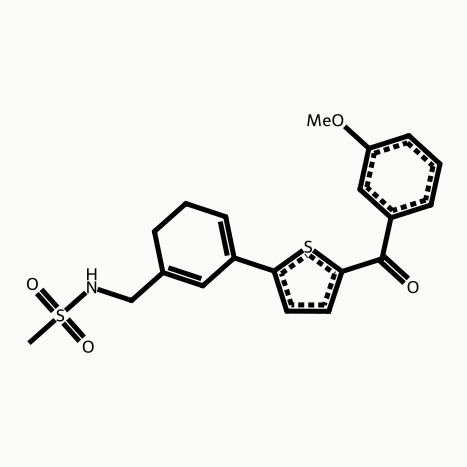 COc1cccc(C(=O)c2ccc(C3=CCCC(CNS(C)(=O)=O)=C3)s2)c1